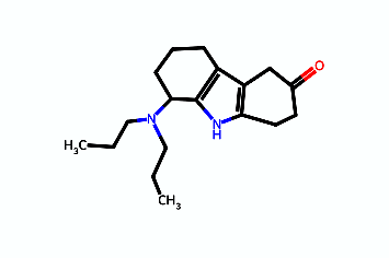 CCCN(CCC)C1CCCc2c1[nH]c1c2CC(=O)CC1